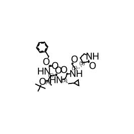 C[C@@H](OC(C)(C)C)[C@H](NC(=O)OCc1ccccc1)C(=O)N[C@@H](CC1CC1)C(=O)N[C@H](C=O)C[C@@H]1CCNC1=O